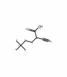 CC(C)(C)CCC(C#N)C(=O)O